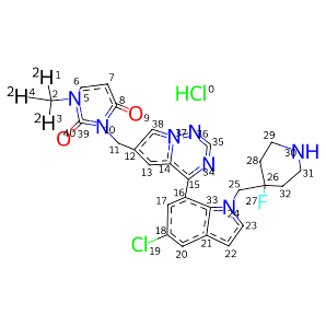 Cl.[2H]C([2H])([2H])n1ccc(=O)n(Cc2cc3c(-c4cc(Cl)cc5ccn(CC6(F)CCNCC6)c45)ncnn3c2)c1=O